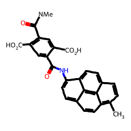 CNC(=O)c1cc(C(=O)O)c(C(=O)Nc2ccc3ccc4c(C)ccc5ccc2c3c54)cc1C(=O)O